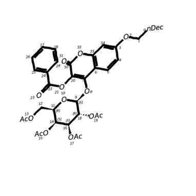 CCCCCCCCCCCOc1ccc2c(O[C@@H]3O[C@H](COC(C)=O)[C@H](OC(C)=O)[C@H](OC(C)=O)[C@H]3OC(C)=O)c(OC(=O)c3ccccc3)c(=O)oc2c1